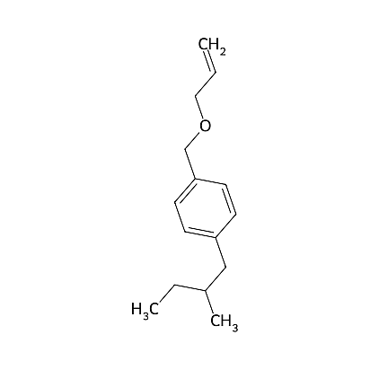 C=CCOCc1ccc(CC(C)CC)cc1